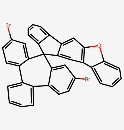 Brc1ccc2c(c1)C1(c3cc(Br)ccc3-c3ccccc3-2)c2ccccc2-c2cc3oc4ccccc4c3cc21